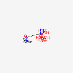 CC[C@@H](O)[C@@H](O)[C@H](CO[C@H]1OC(CO)=C(O)C(O)C1O)NC(=O)CCCCCCCCCCCNC(=O)c1cccc(OC)c1